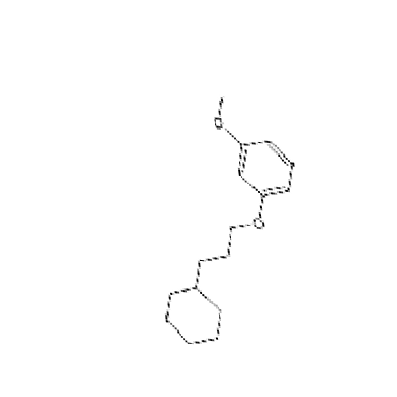 COc1cccc(OCCCC2CCCCC2)c1